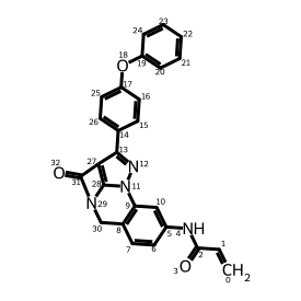 C=CC(=O)Nc1ccc2c(c1)-n1nc(-c3ccc(Oc4ccccc4)cc3)c3c1N(C2)C3=O